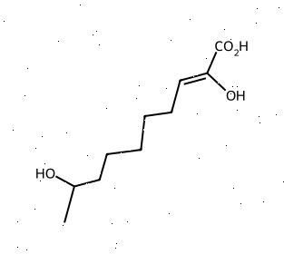 CC(O)CCCCCC=C(O)C(=O)O